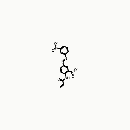 C=CC(=O)Nc1ccc(N=Nc2cccc([N+](=O)[O-])c2)cc1[N+](=O)[O-]